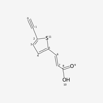 C#Cc1ccc(C=CC(=O)O)s1